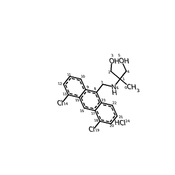 CC(CO)(CO)NCc1c2cccc(Cl)c2cc2c(Cl)cccc12.Cl